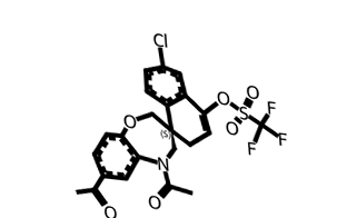 CC(=O)c1ccc2c(c1)N(C(C)=O)C[C@@]1(CC=C(OS(=O)(=O)C(F)(F)F)c3cc(Cl)ccc31)CO2